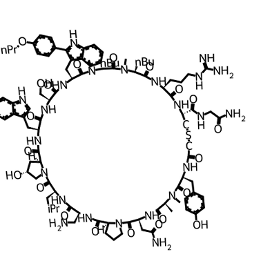 CCCC[C@H]1C(=O)N(C)[C@@H](CCCC)C(=O)N[C@@H](CCCNC(=N)N)C(=O)N[C@H](C(=O)NCC(N)=O)CSCC(=O)N[C@@H](Cc2ccc(O)cc2)C(=O)N(C)[C@@H](C)C(=O)N[C@@H](CC(N)=O)C(=O)N2CCC[C@H]2C(=O)N[C@@H](CN)C(=O)N[C@@H](CC(C)C)C(=O)N2C[C@H](O)C[C@H]2C(=O)N[C@@H](Cc2c[nH]c3ccccc23)C(=O)N[C@@H](CO)C(=O)N[C@@H](Cc2c(-c3ccc(OCCC)cc3)[nH]c3ccccc23)C(=O)N1C